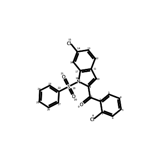 O=C(c1ccccc1Cl)c1cc2ccc(Cl)cc2n1S(=O)(=O)c1ccccc1